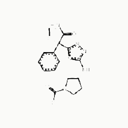 CO[C@@](C(N)=O)(c1ccccc1)c1nnc(N[C@@H]2CCN(C(=O)O)C2)s1